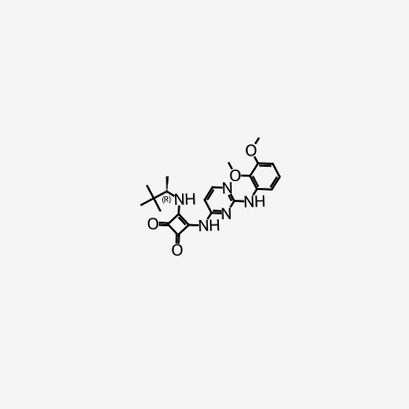 COc1cccc(Nc2nccc(Nc3c(N[C@H](C)C(C)(C)C)c(=O)c3=O)n2)c1OC